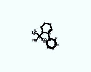 CCOC(=O)C(O)(C1CCCC=C1c1ccccc1)C(F)(F)F